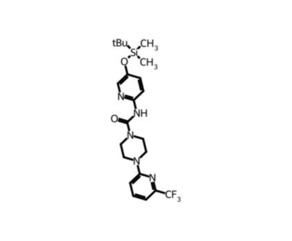 CC(C)(C)[Si](C)(C)Oc1ccc(NC(=O)N2CCN(c3cccc(C(F)(F)F)n3)CC2)nc1